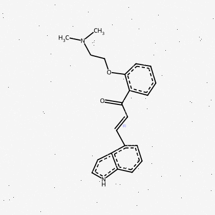 CN(C)CCOc1ccccc1C(=O)/C=C/c1cccc2[nH]ccc12